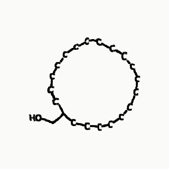 OCC1CCCCCCCCCCCCCCCCCCC1